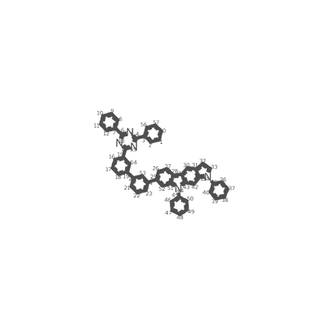 c1ccc(-c2nc(-c3ccccc3)nc(-c3cccc(-c4cccc(-c5ccc6c7cc8ccn(-c9ccccc9)c8cc7n(-c7ccccc7)c6c5)c4)c3)n2)cc1